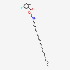 CCCCCCCCCCC=CC=CC=CC=CC=CC=CNCCOC(=O)c1cc(F)ccc1C